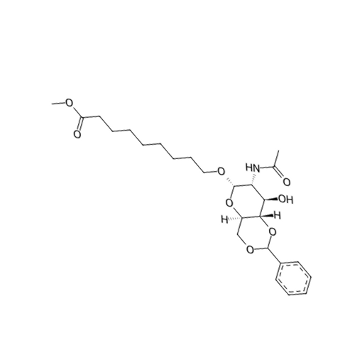 COC(=O)CCCCCCCCO[C@H]1O[C@@H]2COC(c3ccccc3)O[C@H]2[C@H](O)[C@H]1NC(C)=O